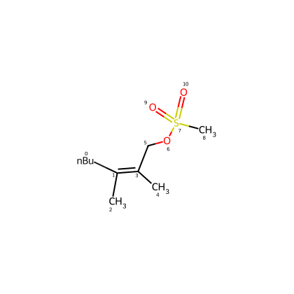 CCCCC(C)=C(C)COS(C)(=O)=O